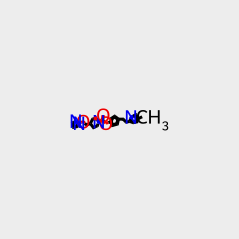 Cc1ccc(CCc2ccc(OC(=O)N3CCC(COn4cccn4)CC3)cc2)nc1